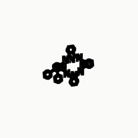 c1ccc(-c2ccc3c4nc5nc(nc6[nH]c(nc7nc(nc([nH]4)c3c2-c2ccccc2)-c2ccccc2-7)c2ccccc62)-c2ccccc2-5)cc1